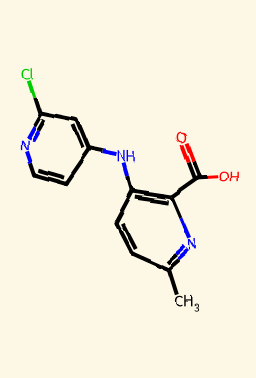 Cc1ccc(Nc2ccnc(Cl)c2)c(C(=O)O)n1